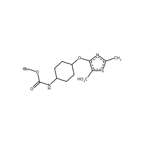 Cc1nc(OC2CCC(NC(=O)OC(C)(C)C)CC2)c(C(=O)O)s1